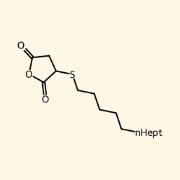 CCCCCCCCCCCCSC1CC(=O)OC1=O